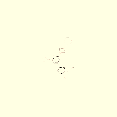 Nc1ncc(-c2cc(N3CC(N4CCOCC4)C3)nc(C3CCC3)n2)cc1OC(F)F